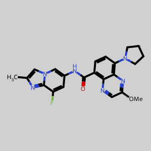 COc1cnc2c(C(=O)Nc3cc(F)c4nc(C)cn4c3)ccc(N3C[CH]CC3)c2n1